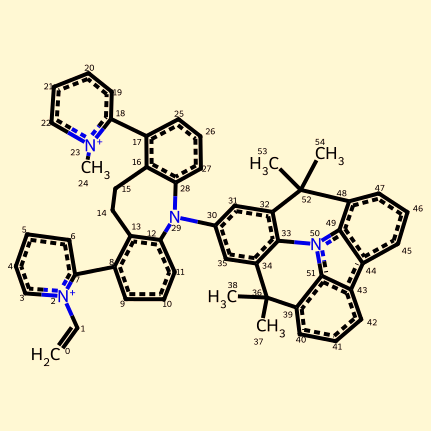 C=C[n+]1ccccc1-c1cccc2c1CCc1c(-c3cccc[n+]3C)cccc1N2c1cc2c3c(c1)C(C)(C)c1cccc4c5cccc(c5n-3c14)C2(C)C